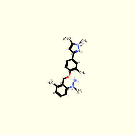 COc1cc(-c2ccc(OCc3c(C)cccc3N(C)N)c(C)c2)nn1C